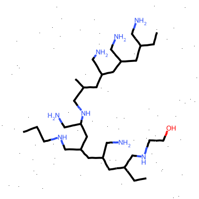 CCCNCC(CC(CN)CC(CC)CNCCO)CC(CN)NCC(C)CC(CN)CC(CN)CC(CC)CN